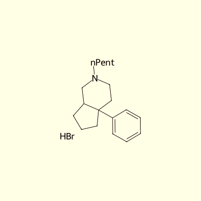 Br.CCCCCN1CCC2(c3ccccc3)CCCC2C1